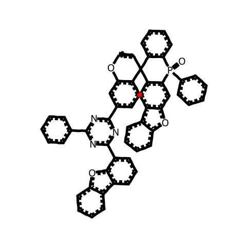 O=P1(c2ccccc2)c2ccccc2C2(c3ccccc3Oc3cc(-c4nc(-c5ccccc5)nc(-c5cccc6c5oc5ccccc56)n4)ccc32)c2cc3c(cc21)oc1ccccc13